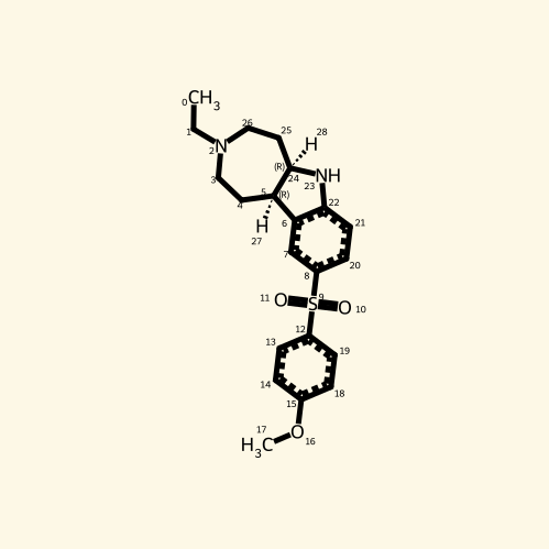 CCN1CC[C@@H]2c3cc(S(=O)(=O)c4ccc(OC)cc4)ccc3N[C@@H]2CC1